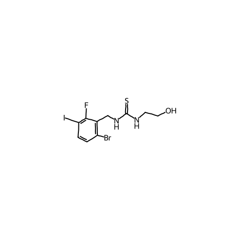 OCCNC(=S)NCc1c(Br)ccc(I)c1F